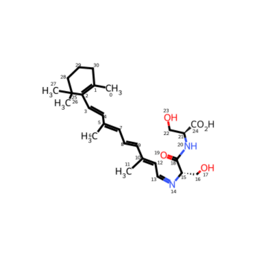 CC1=C(/C=C/C(C)=C/C=C/C(C)=C/C=N\[C@@H](CO)C(=O)N[C@@H](CO)C(=O)O)C(C)(C)CCC1